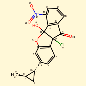 C[C@@H]1C[C@H]1c1ccc2c(c1)OC1(O)c3c(cccc3[N+](=O)[O-])C(=O)C21Cl